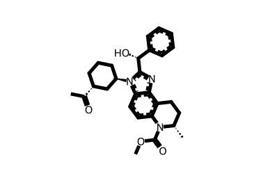 COC(=O)N1c2ccc3c(nc([C@H](O)c4ccccc4)n3[C@@H]3CCC[C@@H](C(C)=O)C3)c2CC[C@@H]1C